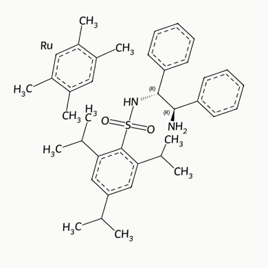 CC(C)c1cc(C(C)C)c(S(=O)(=O)N[C@H](c2ccccc2)[C@H](N)c2ccccc2)c(C(C)C)c1.Cc1cc(C)c(C)cc1C.[Ru]